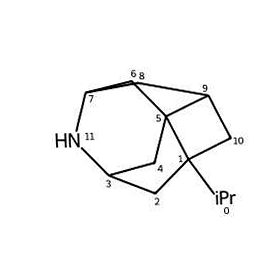 CC(C)C12CC3CC14CC(CC4C2)N3